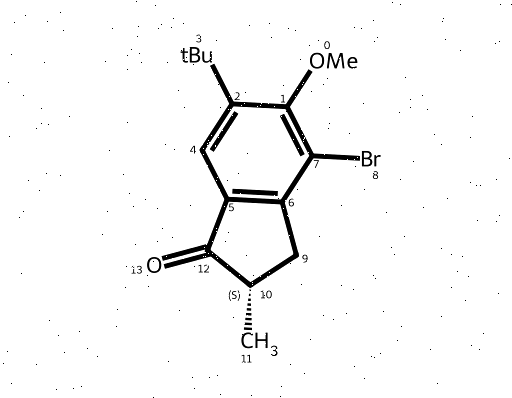 COc1c(C(C)(C)C)cc2c(c1Br)C[C@H](C)C2=O